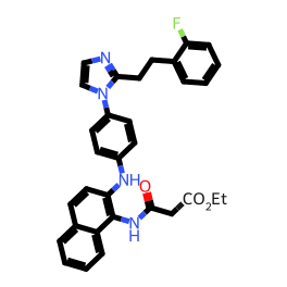 CCOC(=O)CC(=O)Nc1c(Nc2ccc(-n3ccnc3CCc3ccccc3F)cc2)ccc2ccccc12